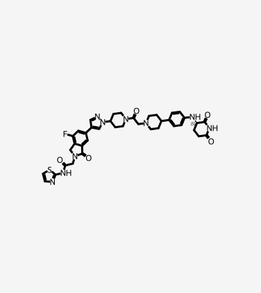 O=C1CC[C@H](Nc2ccc(C3CCN(CC(=O)N4CCC(n5cc(-c6cc(F)c7c(c6)C(=O)N(CC(=O)Nc6nccs6)C7)cn5)CC4)CC3)cc2)C(=O)N1